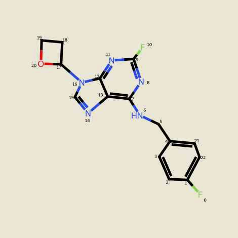 Fc1ccc(CNc2nc(F)nc3c2ncn3C2CCO2)cc1